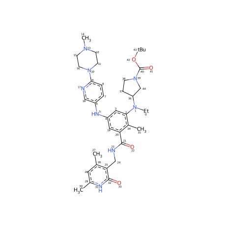 CCN(c1cc(Nc2ccc(N3CCN(C)CC3)nc2)cc(C(=O)NCc2c(C)cc(C)[nH]c2=O)c1C)C1CCN(C(=O)OC(C)(C)C)C1